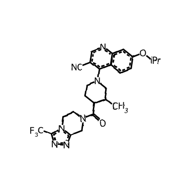 CC(C)Oc1ccc2c(N3CCC(C(=O)N4CCn5c(nnc5C(F)(F)F)C4)C(C)C3)c(C#N)cnc2c1